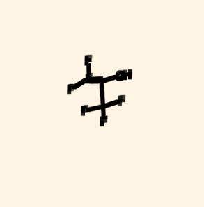 OC(=S(F)F)C(F)(F)F